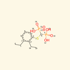 CCc1cccc(SC(P(=O)(O)O)P(=O)(O)O)c1CC